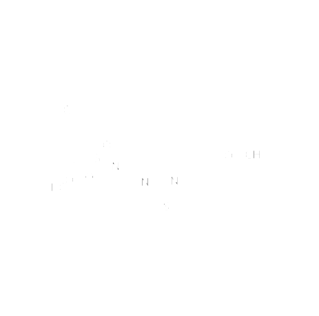 COc1cccc(-c2csc(N3CCN(S(=O)(=O)c4cc(Cl)ccc4OC)CC3)n2)c1